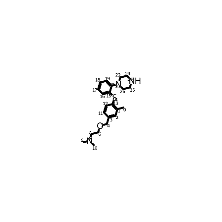 Cc1cc(COCCN(C)C)ccc1Sc1ccccc1N1CCNCC1